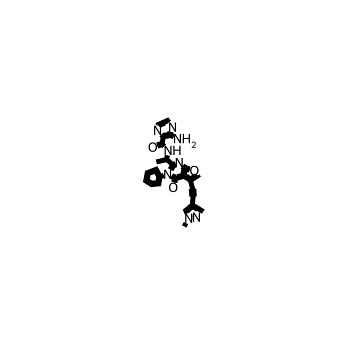 CC(NC(=O)c1nccnc1N)c1nc2occ(C#Cc3cnn(C)c3)c2c(=O)n1-c1ccccc1